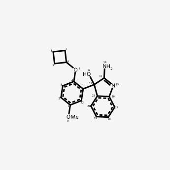 COc1ccc(OC2CCC2)c(C2(O)C(N)=Nc3ccccc32)c1